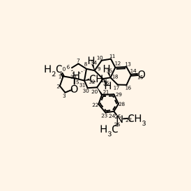 C=C1CCO[C@@]12CC[C@H]1[C@@H]3CCC4=CC(=O)CC[C@@H]4[C@H]3[C@@H](c3ccc(N(C)C)cc3)C[C@@]12C